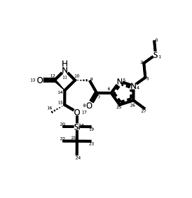 CSCCn1nc(C(=O)C[C@H]2NC(=O)[C@@H]2[C@@H](C)O[Si](C)(C)C(C)(C)C)cc1C